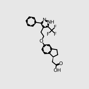 O=C(O)C[C@@H]1CCc2cc(OCCc3c(-c4ccccc4)n[nH]c3C(F)(F)F)ccc21